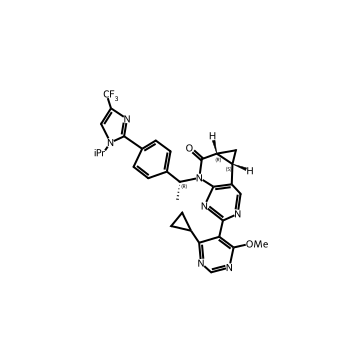 COc1ncnc(C2CC2)c1-c1ncc2c(n1)N([C@H](C)c1ccc(-c3nc(C(F)(F)F)cn3C(C)C)cc1)C(=O)[C@@H]1C[C@H]21